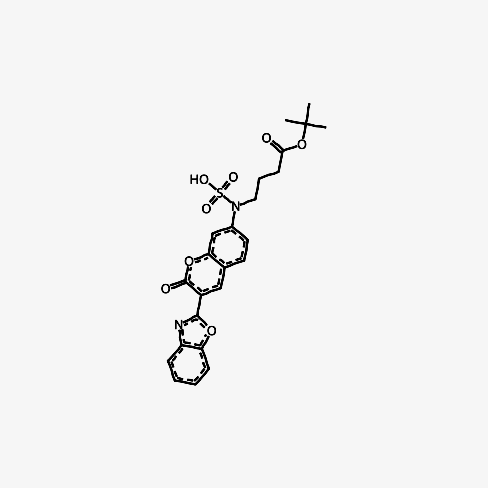 CC(C)(C)OC(=O)CCCN(c1ccc2cc(-c3nc4ccccc4o3)c(=O)oc2c1)S(=O)(=O)O